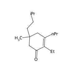 CCCC1=C(CC)C(=O)CC(C)(CCC(C)C)C1